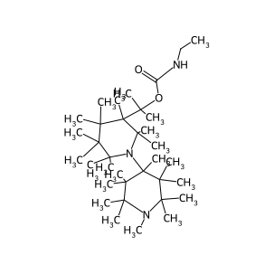 CCNC(=O)OC(C)(C)C1(C)C(C)(C)N(C2(C)C(C)(C)C(C)(C)N(C)C(C)(C)C2(C)C)C(C)(C)C(C)(C)C1(C)C